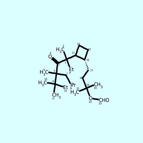 CCC(C)(C(=O)C(C)(CC(C)C)C(C)(C)CC)C1CC[C@@H]1CCC(C)(C)OC=O